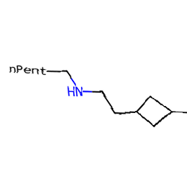 CCCCCCNCCC1CC(C)C1